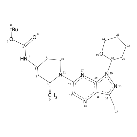 C[C@@H]1CC(NC(=O)OC(C)(C)C)CCN1c1cnc2c(I)nn(C3CCCCO3)c2n1